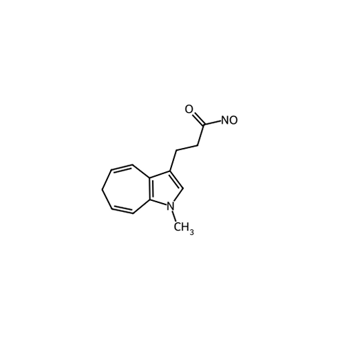 Cn1cc(CCC(=O)N=O)c2c1C=CCC=C2